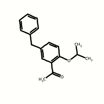 CC(=O)c1cc(Cc2ccccc2)ccc1OC(C)C